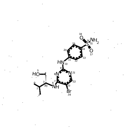 CC(C)[C@H](CO)Nc1nc(Nc2ccc(S(N)(=O)=O)cc2)ncc1Br